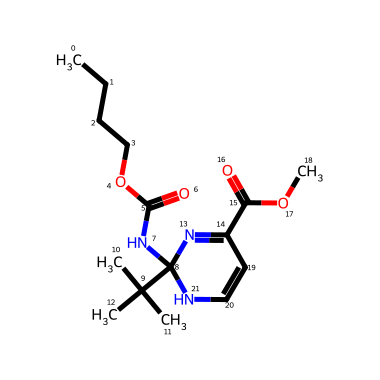 CCCCOC(=O)NC1(C(C)(C)C)N=C(C(=O)OC)C=CN1